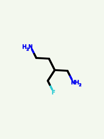 NCCC(CN)CF